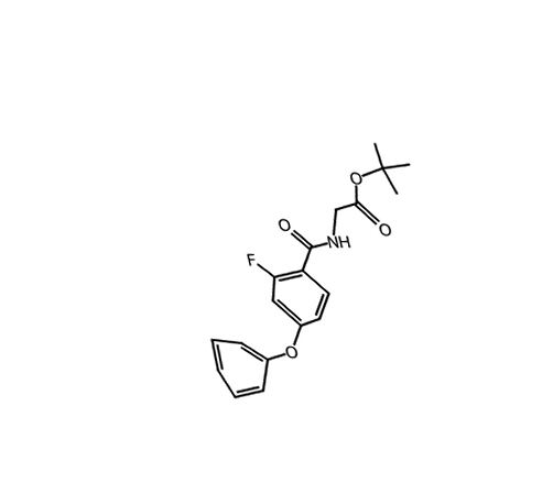 CC(C)(C)OC(=O)CNC(=O)c1ccc(Oc2ccccc2)cc1F